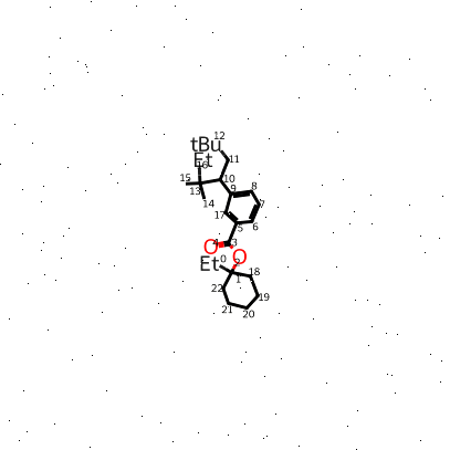 CCC1(OC(=O)c2cccc(C(CC(C)(C)C)C(C)(C)CC)c2)CCCCC1